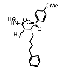 COc1ccc(S(=O)(=O)[C@H](CCCCc2ccccc2)[C@@H](C)C(=O)NO)cc1